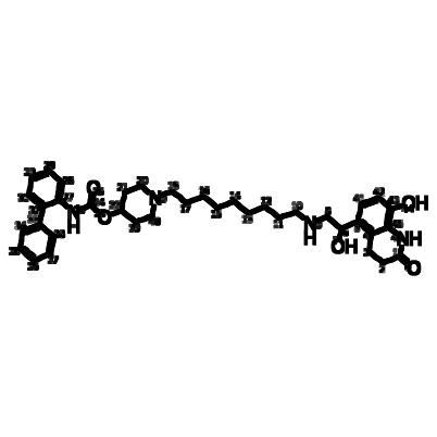 O=C1CCc2c([C@@H](O)CNCCCCCCCCCN3CCC(OC(=O)Nc4ccccc4-c4ccccc4)CC3)ccc(O)c2N1